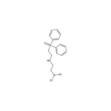 CCN(CC)CCNCCP(=O)(c1ccccc1)c1ccccc1